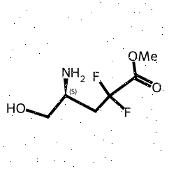 COC(=O)C(F)(F)C[C@H](N)CO